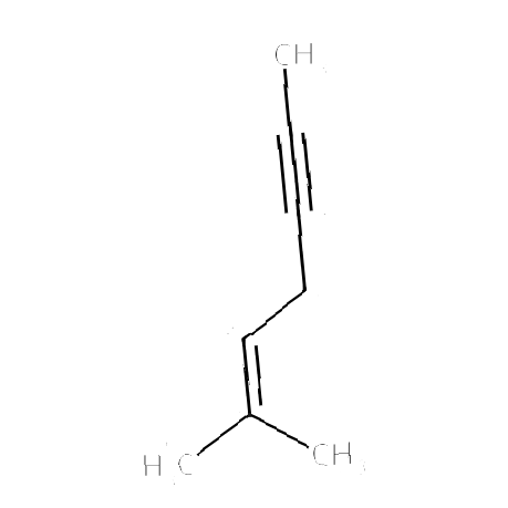 CC#CCC=C(C)C